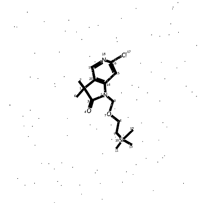 CC1(C)C(=O)N(COCC[Si](C)(C)C)c2cc(Cl)ncc21